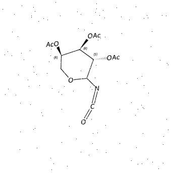 CC(=O)O[C@H]1[C@H](OC(C)=O)C(N=C=O)OC[C@H]1OC(C)=O